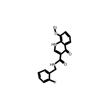 CCOc1cccc2c(=O)c(C(=O)NCc3ccccc3F)c[nH]c12